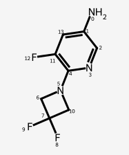 Nc1cnc(N2CC(F)(F)C2)c(F)c1